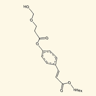 CCCCCCOC(=O)C=Cc1ccc(OC(=O)CCOCO)cc1